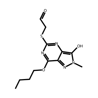 CCCCOc1nc(SCC=O)nc2c(O)n(C)nc12